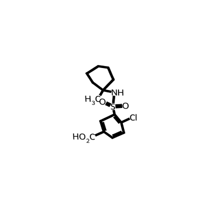 CC1(NS(=O)(=O)c2cc(C(=O)O)ccc2Cl)CCCCC1